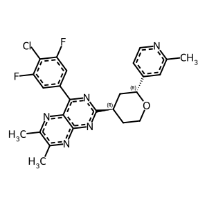 Cc1cc([C@H]2C[C@H](c3nc(-c4cc(F)c(Cl)c(F)c4)c4nc(C)c(C)nc4n3)CCO2)ccn1